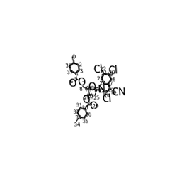 Cc1ccc(C(=O)OC[C@H]2O[C@@H](n3c(Cl)c(C#N)c4cc(Cl)c(Cl)cc43)C[C@@H]2OC(=O)c2ccc(C)cc2)cc1